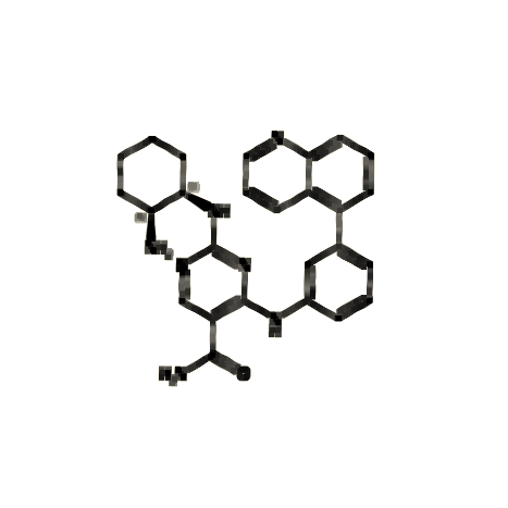 NC(=O)c1cnc(N[C@@H]2CCCC[C@@H]2N)nc1Nc1cccc(-c2cccc3ncccc23)c1